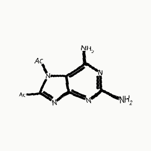 CC(=O)c1nc2nc(N)nc(N)c2n1C(C)=O